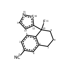 N#Cc1ccc2c(c1)CCCC2(F)c1ccns1